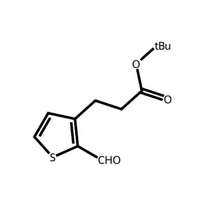 CC(C)(C)OC(=O)CCc1ccsc1C=O